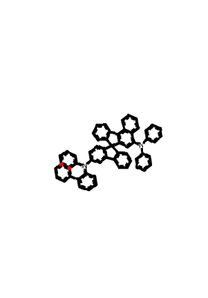 c1ccc(-c2ccccc2N(c2ccccc2)c2ccc3c(c2)-c2ccccc2C32c3ccccc3-c3c2cc(N(c2ccccc2)c2ccccc2)c2ccccc32)cc1